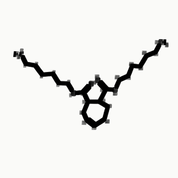 CCCCCCCOC(=O)C1CC=CCCC1C(=O)OCCCCCCC